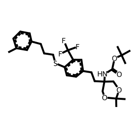 Cc1cccc(CCCSc2ccc(CCC3(NC(=O)OC(C)(C)C)COC(C)(C)OC3)cc2C(F)(F)F)c1